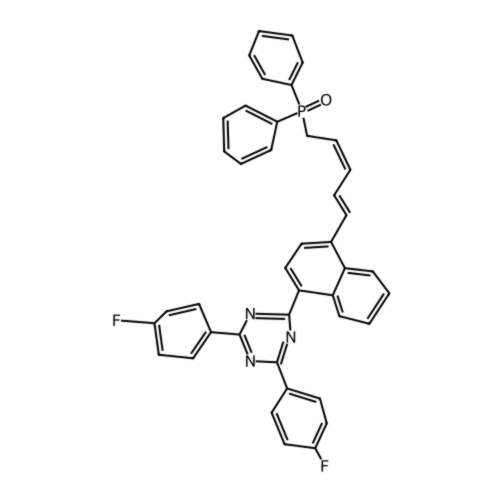 O=P(C/C=C\C=C\c1ccc(-c2nc(-c3ccc(F)cc3)nc(-c3ccc(F)cc3)n2)c2ccccc12)(c1ccccc1)c1ccccc1